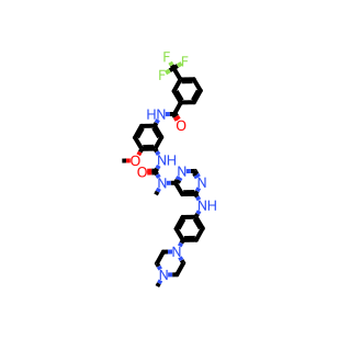 COc1ccc(NC(=O)c2cccc(C(F)(F)F)c2)cc1NC(=O)N(C)c1cc(Nc2ccc(N3CCN(C)CC3)cc2)ncn1